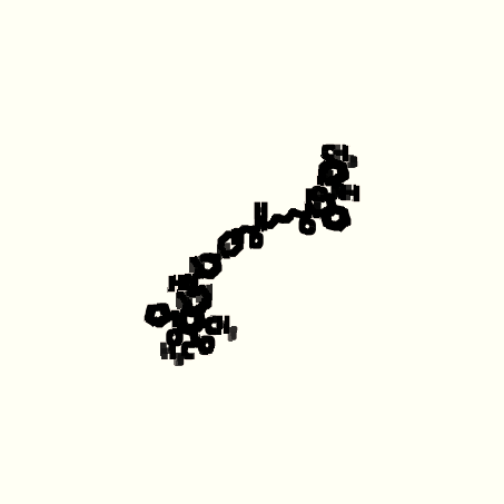 CC(=O)c1c(C)c2cnc(Nc3ccc(N4CCN(CC(=O)NCCCCC(=O)Nc5ccccc5C(=O)Nc5ccc(C)cn5)CC4)cn3)nc2n(C2CCCC2)c1=O